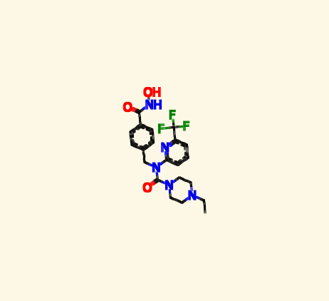 CCN1CCN(C(=O)N(Cc2ccc(C(=O)NO)cc2)c2cccc(C(F)(F)F)n2)CC1